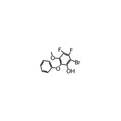 COc1c(F)c(F)c(Br)c(O)c1Oc1ccccc1